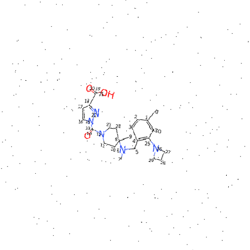 Cc1ccc(CN(C)C2(C)CCN(C(=O)n3ccc(C(=O)O)n3)CC2)c(N2CCC2)c1